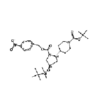 CC(C)(C)OC(=O)N1CCC([C@@H]2C[C@@H](O[Si](C)(C)C(C)(C)C)CN2C(=O)OCc2ccc([N+](=O)[O-])cc2)CC1